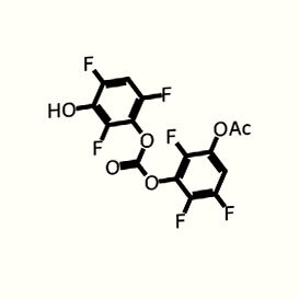 CC(=O)Oc1cc(F)c(F)c(OC(=O)Oc2c(F)cc(F)c(O)c2F)c1F